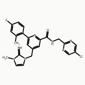 Cc1cc(F)ccc1-c1cc(Cn2ccn(C)c2=N)cc(C(=O)NCc2ncc(Cl)cn2)n1